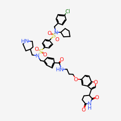 O=C1CCC(c2coc3ccc(OCCCNC(=O)c4ccc(CN(CC5CCNCC5)S(=O)(=O)c5ccc(S(=O)(=O)N(Cc6ccc(Cl)cc6)C6CCCC6)cc5)cc4)cc23)C(=O)N1